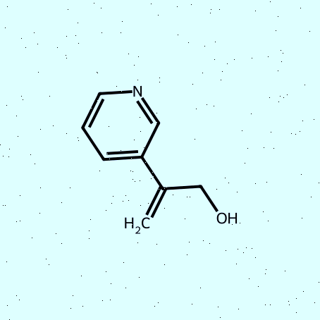 C=C(CO)c1cccnc1